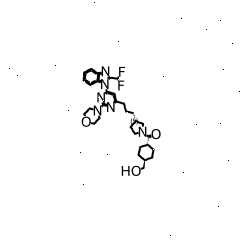 O=C([C@H]1CC[C@H](CO)CC1)N1CC[C@H](CCCc2cc(-n3c(C(F)F)nc4ccccc43)nc(N3CCOCC3)n2)C1